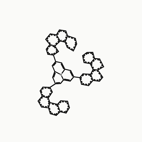 C1=C(c2ccc3ccc4ccc5ccccc5c4c3c2)C=C2C=C(c3ccc4ccc5ccc6ccccc6c5c4c3)C=C3C=C(c4ccc5ccc6ccc7ccccc7c6c5c4)C=C1N23